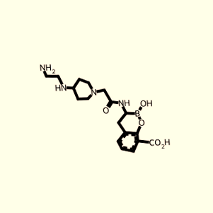 NCCNC1CCN(CC(=O)NC2Cc3cccc(C(=O)O)c3OB2O)CC1